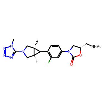 CC(=O)NC[C@H]1CN(c2ccc(C3[C@H]4CN(c5nnnn5C)C[C@@H]34)c(F)c2)C(=O)O1